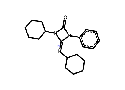 O=C1N(c2ccccc2)/C(=N\C2CCCCC2)N1C1CCCCC1